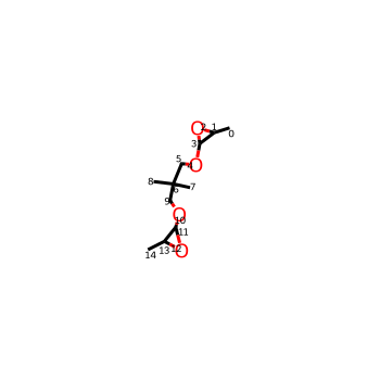 CC1OC1OCC(C)(C)COC1OC1C